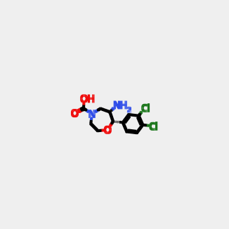 N[C@@H]1CN(C(=O)O)CCO[C@H]1c1ccc(Cl)c(Cl)c1